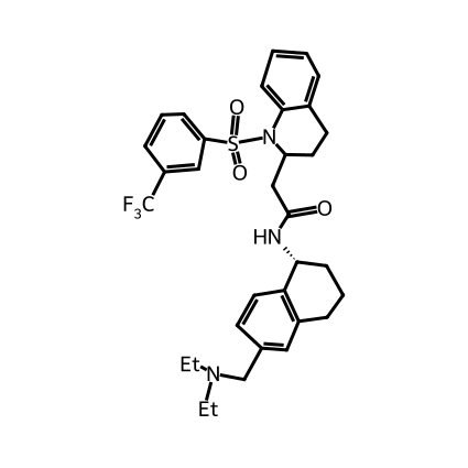 CCN(CC)Cc1ccc2c(c1)CCC[C@H]2NC(=O)CC1CCc2ccccc2N1S(=O)(=O)c1cccc(C(F)(F)F)c1